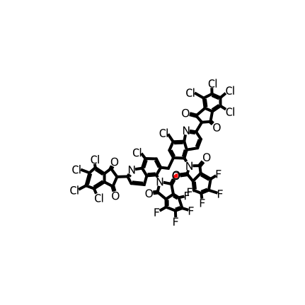 O=C1c2c(Cl)c(Cl)c(Cl)c(Cl)c2C(=O)C1c1ccc2c(N3C(=O)c4c(F)c(F)c(F)c(F)c4C3=O)c(Cc3cc(Cl)c4nc(C5C(=O)c6c(Cl)c(Cl)c(Cl)c(Cl)c6C5=O)ccc4c3N3C(=O)c4c(F)c(F)c(F)c(F)c4C3=O)cc(Cl)c2n1